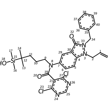 C=CCn1c2ccc(N(CCCC(C)(C)[Si](C)(C)O)C(=O)c3c(Cl)ncnc3Cl)cc2c(=O)n1Cc1ccccc1